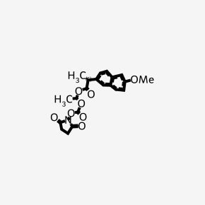 COc1ccc2cc([C@H](C)C(=O)OC(C)OC(=O)ON3C(=O)CCC3=O)ccc2c1